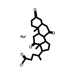 CC(CCC(=O)[O-])C1CCC2C3C(=O)CC4CC(=O)CCC4(C)C3CC(=O)C12C.[Na+]